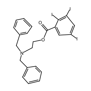 O=C(OCCN(Cc1ccccc1)Cc1ccccc1)c1cc(I)cc(I)c1I